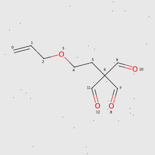 C=CCOCCC(C=O)(C=O)C=O